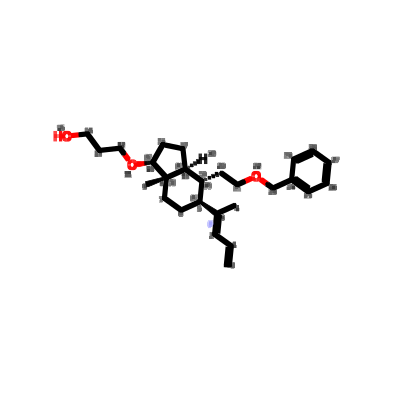 C=C/C=C(\C)[C@H]1CC[C@]2(C)[C@@H](OCCCO)CC[C@H]2[C@@H]1CCOCc1ccccc1